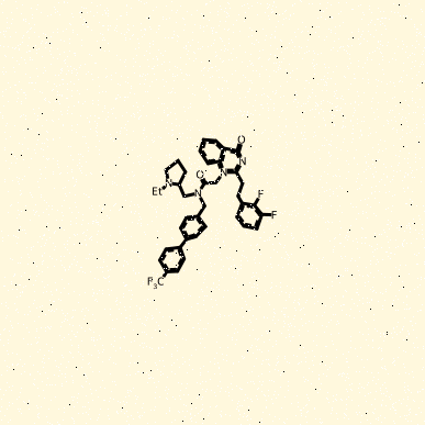 CCN1CCCC1CN(Cc1ccc(-c2ccc(C(F)(F)F)cc2)cc1)C(=O)Cn1c(CCc2cccc(F)c2F)nc(=O)c2ccccc21